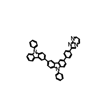 c1ccc(-n2c3ccccc3c3cc(-c4ccc5c(c4)c4cc(-c6ccc(-c7cn8cccnc8n7)cc6)ccc4n5-c4ccccc4)ccc32)cc1